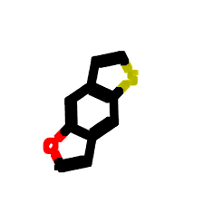 [c]1cc2cc3sccc3cc2o1